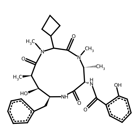 C[C@@H]1[C@H](NC(=O)c2ccccc2O)C(=O)N[C@@H](Cc2ccccc2)[C@@H](O)[C@@H](C)C(=O)N(C)C(C2CCC2)C(=O)N1C